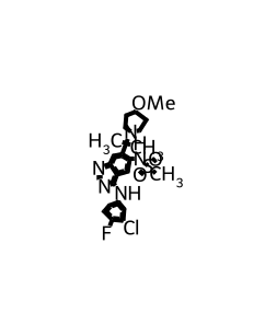 COC1CCN(C(C)(C)c2cc3ncnc(Nc4ccc(F)c(Cl)c4)c3cc2NS(C)(=O)=O)CC1